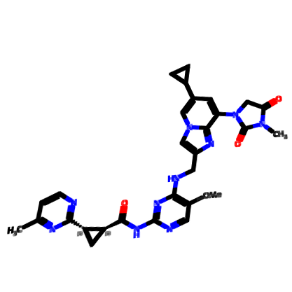 COc1cnc(NC(=O)[C@H]2C[C@@H]2c2nccc(C)n2)nc1NCc1cn2cc(C3CC3)cc(N3CC(=O)N(C)C3=O)c2n1